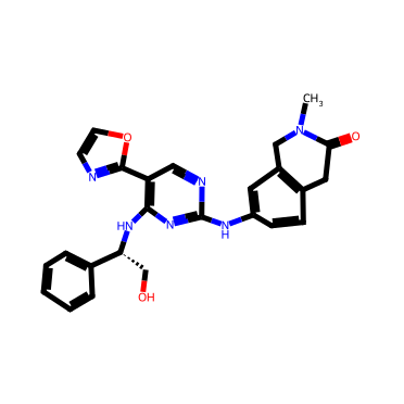 CN1Cc2cc(Nc3ncc(-c4ncco4)c(N[C@H](CO)c4ccccc4)n3)ccc2CC1=O